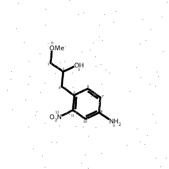 COCC(O)Cc1ccc(N)cc1[N+](=O)[O-]